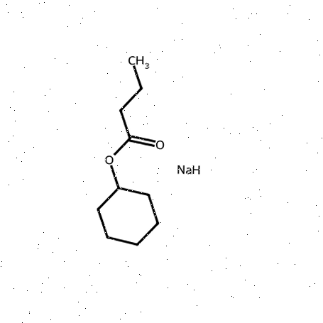 CCCC(=O)OC1CCCCC1.[NaH]